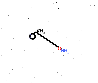 CC(CCCCCCCCCCCCCCOCN)CC1C#CC/C=C\C=C/1